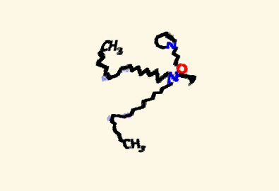 CCCCC/C=C\C/C=C\CCCCCCCCN(CCCCCCCC/C=C\C/C=C\CCCCC)C(OCCCCN1CCCCCCC1)=C1CC1